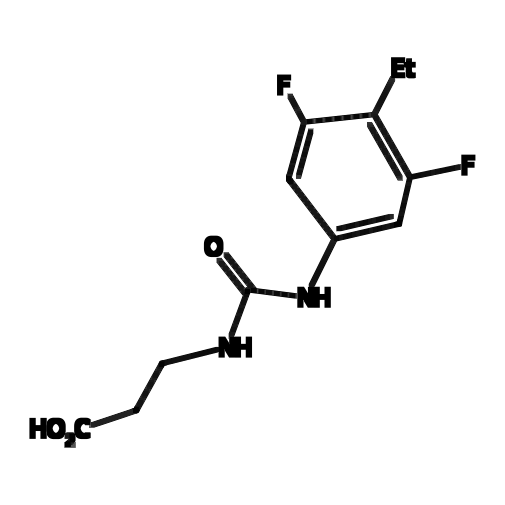 CCc1c(F)cc(NC(=O)NCCC(=O)O)cc1F